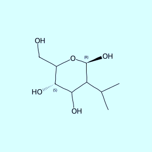 CC(C)C1C(O)[C@H](O)C(CO)O[C@H]1O